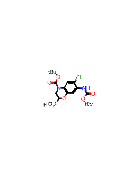 CC(C)(C)OC(=O)Nc1cc2c(cc1Cl)N(C(=O)OC(C)(C)C)CC(C(=O)O)O2